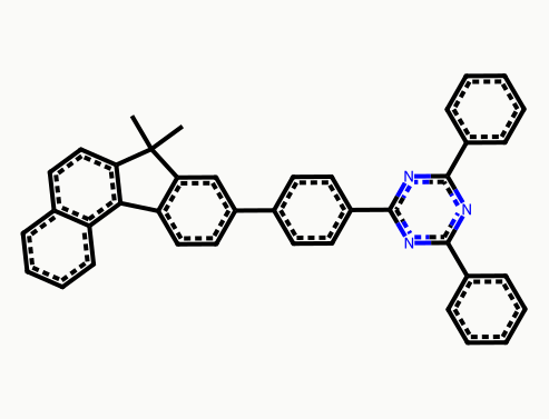 CC1(C)c2cc(-c3ccc(-c4nc(-c5ccccc5)nc(-c5ccccc5)n4)cc3)ccc2-c2c1ccc1ccccc21